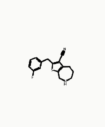 N#Cc1c(Cc2cccc(F)c2)sc2c1CCCNC2